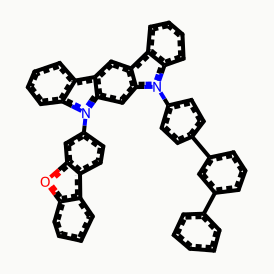 c1ccc(-c2cccc(-c3ccc(-n4c5ccccc5c5cc6c7ccccc7n(-c7ccc8c(c7)oc7ccccc78)c6cc54)cc3)c2)cc1